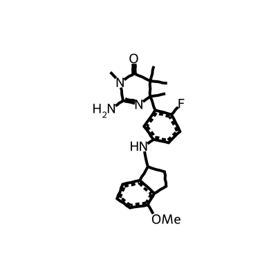 COc1cccc2c1CCC2Nc1ccc(F)c(C2(C)N=C(N)N(C)C(=O)C2(C)C)c1